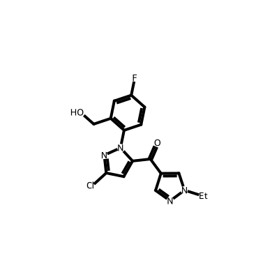 CCn1cc(C(=O)c2cc(Cl)nn2-c2ccc(F)cc2CO)cn1